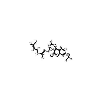 CC(=O)Oc1c(OC/C=C(\C)CCC=C(C)C)c(=O)oc2cc(OC(C)C)ccc12